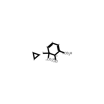 C1CC1.CC1(C(=O)O)C=CC=C(C(=O)O)C1Cl